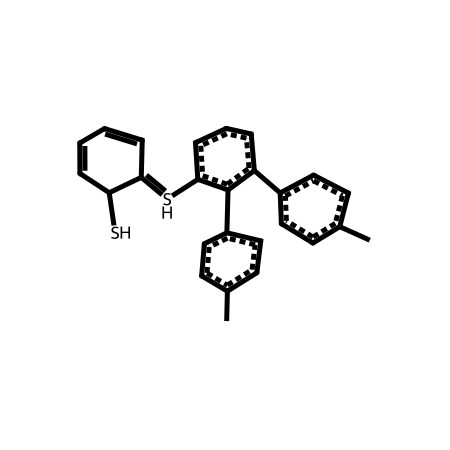 Cc1ccc(-c2cccc([SH]=C3C=CC=CC3S)c2-c2ccc(C)cc2)cc1